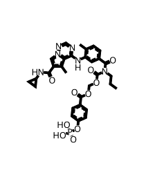 CCCN(C(=O)OCOC(=O)c1ccc(OP(=O)(O)O)cc1)C(=O)c1ccc(C)c(Nc2ncnn3cc(C(=O)NC4CC4)c(C)c23)c1